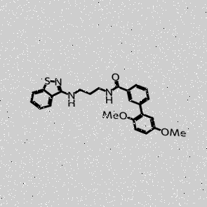 COc1ccc(OC)c(-c2cccc(C(=O)NCCCNc3nsc4ccccc34)c2)c1